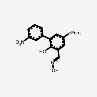 CCCCCc1cc(/C=N/O)c(O)c(-c2cccc([N+](=O)[O-])c2)c1